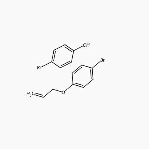 C=CCOc1ccc(Br)cc1.Oc1ccc(Br)cc1